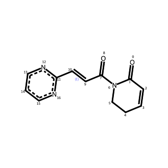 O=C1C=CCCN1C(=O)/C=C/c1ncccn1